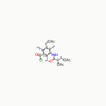 CC(=O)OCc1c(I)c(NC(=O)C(COC(C)=O)OC(C)=O)c(I)c(C(=O)Cl)c1I